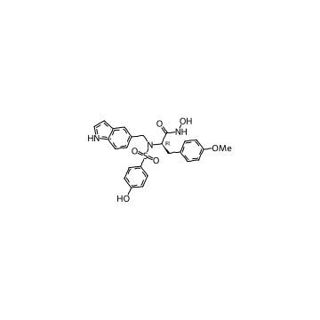 COc1ccc(C[C@H](C(=O)NO)N(Cc2ccc3[nH]ccc3c2)S(=O)(=O)c2ccc(O)cc2)cc1